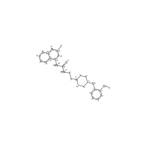 COc1ccccc1OC1CCN(CCNC(=O)Nc2cc(C)nc3ccccc23)CC1